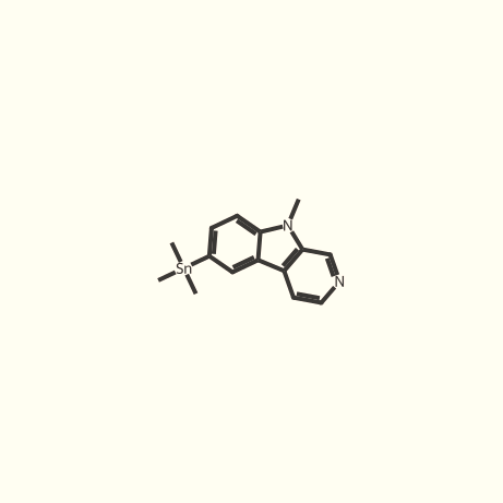 Cn1c2cc[c]([Sn]([CH3])([CH3])[CH3])cc2c2ccncc21